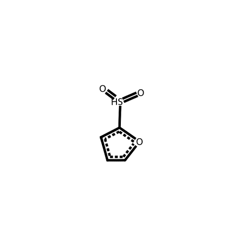 O=[SH](=O)c1ccco1